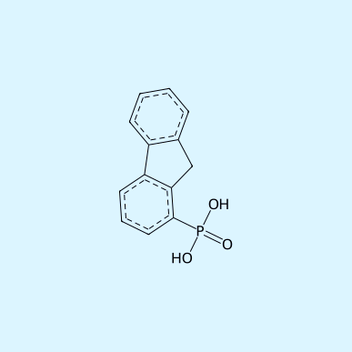 O=P(O)(O)c1cccc2c1Cc1ccccc1-2